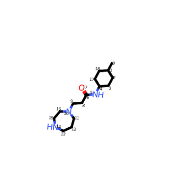 CC1CCC(NC(=O)CCN2CCCNCC2)CC1